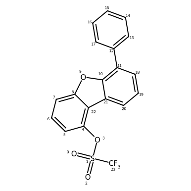 O=S(=O)(Oc1cccc2oc3c(-c4ccccc4)cccc3c12)C(F)(F)F